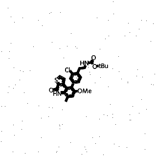 COc1cc(C)c2[nH]c(=O)c3sccc3c2c1-c1ccc(CCNC(=O)OC(C)(C)C)c(Cl)c1